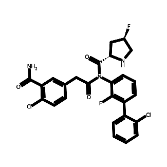 NC(=O)c1cc(CC(=O)N(C(=O)[C@@H]2C[C@@H](F)CN2)c2cccc(-c3ccccc3Cl)c2F)ccc1Cl